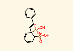 O=S(=O)(O)C1C=CC=CC1(C=Cc1ccccc1)S(=O)(=O)O